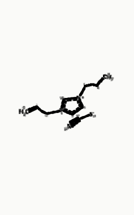 C=CC[n+]1ccn(CCC)c1.N#C[S-]